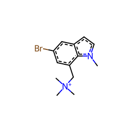 Cn1ccc2cc(Br)cc(C[N+](C)(C)C)c21